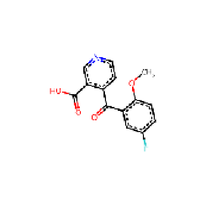 COc1ccc(F)cc1C(=O)c1ccncc1C(=O)O